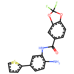 Nc1ccc(-c2cccs2)cc1NC(=O)c1ccc2c(c1)OC(F)(F)O2